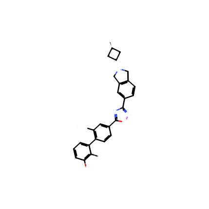 Cc1cc(-c2nc(-c3ccc4c(c3)CN([C@H]3C[C@H](C(=O)O)C3)C4)no2)ccc1-c1cccc(Br)c1C(F)(F)F